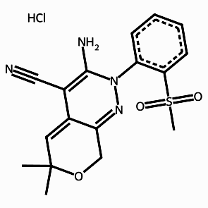 CC1(C)C=C2C(=NN(c3ccccc3S(C)(=O)=O)C(N)=C2C#N)CO1.Cl